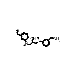 CN(CC(O)CN(C)c1cccc(CN)c1)c1cccc(CN)c1